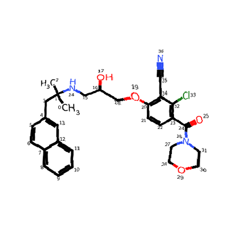 CC(C)(Cc1ccc2ccccc2c1)NCC(O)COc1ccc(C(=O)N2CCOCC2)c(Cl)c1C#N